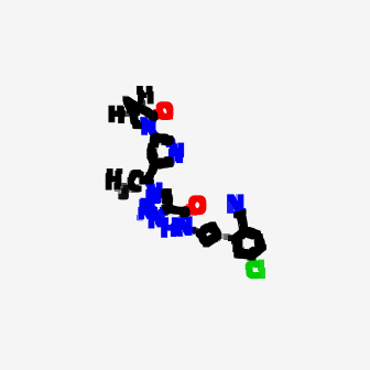 CC(c1cncc(N2C[C@H]3C[C@H]3C2=O)c1)n1cc(C(=O)N[C@H]2C[C@@H](c3cc(Cl)ccc3C#N)C2)nn1